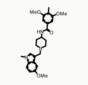 COc1ccc2c(c1)c(CN1CCC(NC(=O)c3cc(OC)c(C)c(OC)c3)CC1)cn2C